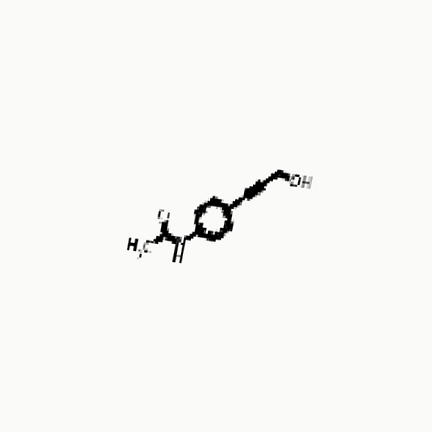 CC(=O)Nc1ccc(C#CCO)cc1